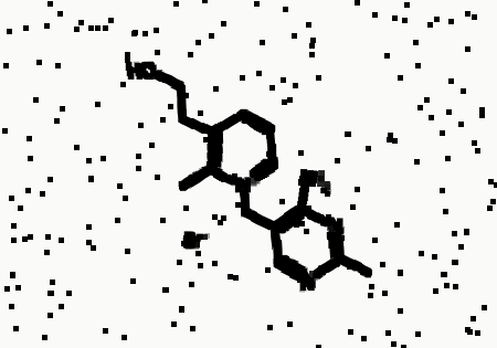 Cc1ncc(C[n+]2cccc(CCO)c2C)c(N)n1.[Br-]